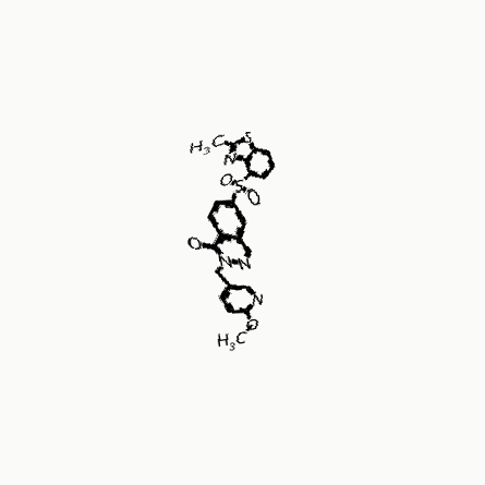 COc1ccc(Cn2ncc3cc(S(=O)(=O)c4cccc5sc(C)nc45)ccc3c2=O)cn1